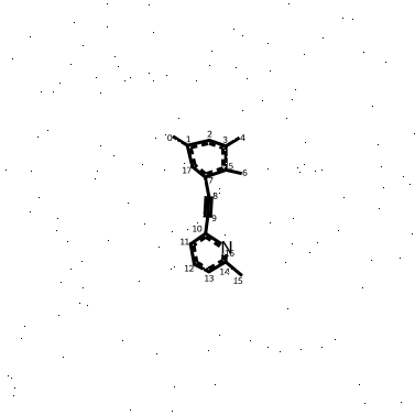 Cc1cc(C)c(C)c(C#Cc2cccc(C)n2)c1